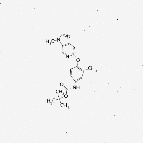 Cc1cc(NC(=O)OC(C)(C)C)ccc1Oc1cc2ncn(C)c2cn1